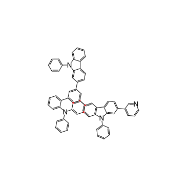 c1ccc(N(c2ccccc2)c2ccccc2-c2cc(-c3ccc4c(c3)c3ccc(-c5cccnc5)cc3n4-c3ccccc3)cc(-c3ccc4c5ccccc5n(-c5ccccc5)c4c3)c2)cc1